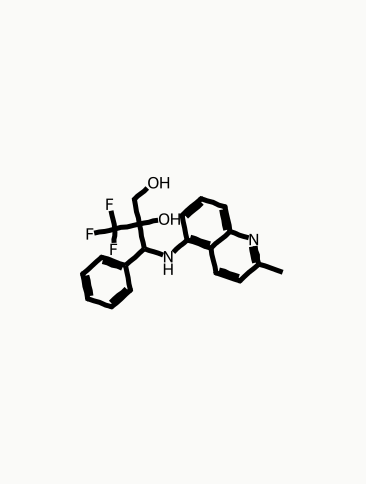 Cc1ccc2c(NC(c3ccccc3)C(O)(CO)C(F)(F)F)cccc2n1